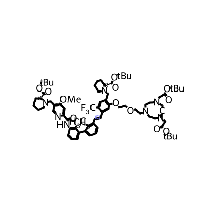 COc1cc(C(=O)Nc2cccc(-c3cccc(/C=C/c4cc(OCCOCCN5CCN(CC(=O)OC(C)(C)C)CCN(CC(=O)OC(C)(C)C)CC5)c(CN5CCCC[C@H]5C(=O)OC(C)(C)C)cc4C(F)(F)F)c3C)c2C)ncc1CN1CCCC[C@H]1C(=O)OC(C)(C)C